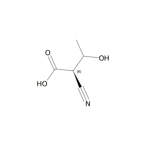 CC(O)[C@@H](C#N)C(=O)O